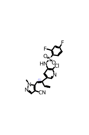 C=C/C(=C\c1c(C#N)cnn1C)c1cnc(Cl)c(NS(=O)(=O)c2ccc(F)cc2F)c1